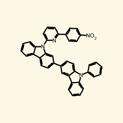 O=[N+]([O-])c1ccc(-c2cccc(-n3c4ccccc4c4ccc(-c5ccc6c(c5)c5ccccc5n6-c5ccccc5)cc43)n2)cc1